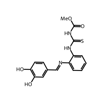 COC(=O)NC(=S)Nc1ccccc1N=Cc1ccc(O)c(O)c1